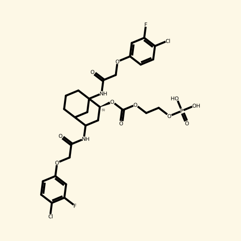 O=C(COc1ccc(Cl)c(F)c1)NC1C[C@H](OC(=O)OCCOP(=O)(O)O)C2(NC(=O)COc3ccc(Cl)c(F)c3)CCCC1C2